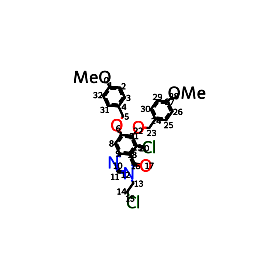 COc1ccc(COc2cc3ncn(CCCl)c(=O)c3c(Cl)c2OCc2ccc(OC)cc2)cc1